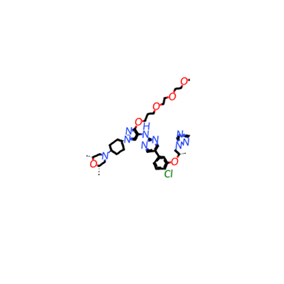 COCCOCCOCCCOc1nn([C@H]2CC[C@H](N3C[C@@H](C)O[C@@H](C)C3)CC2)cc1Nc1ncc(-c2ccc(Cl)c(O[C@@H](C)Cn3cncn3)c2)cn1